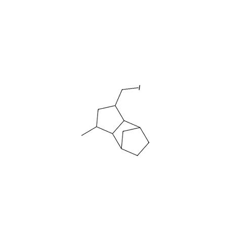 CC1CC(CI)C2C3CCC(C3)C12